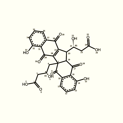 O=C(O)C[C@@H](O)CC12C(=O)c3cccc(O)c3C(=O)C1C([C@H](O)CC(=O)O)C1=C2C(=O)c2c(O)cccc2C1=O